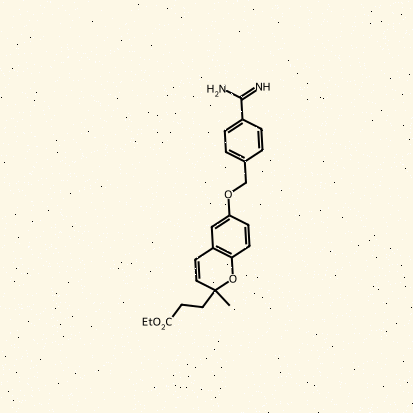 CCOC(=O)CCC1(C)C=Cc2cc(OCc3ccc(C(=N)N)cc3)ccc2O1